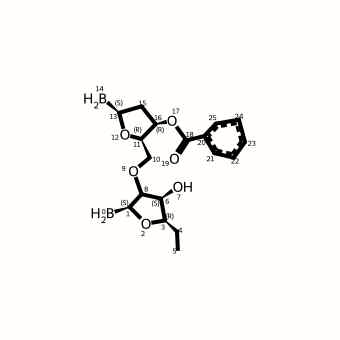 B[C@@H]1O[C@H](CC)[C@H](O)C1OC[C@H]1O[C@@H](B)C[C@H]1OC(=O)c1ccccc1